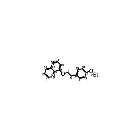 CCOc1ccc(CCOc2ccnc3cccnc23)cc1